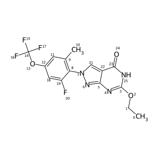 CCOc1nc2nn(-c3c(C)cc(OC(F)(F)F)cc3F)cc2c(=O)[nH]1